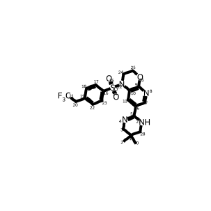 CC1(C)CN=C(c2cnc3c(c2)N(S(=O)(=O)c2ccc(CC(F)(F)F)cc2)CCO3)NC1